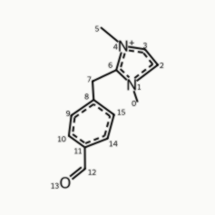 Cn1cc[n+](C)c1Cc1ccc(C=O)cc1